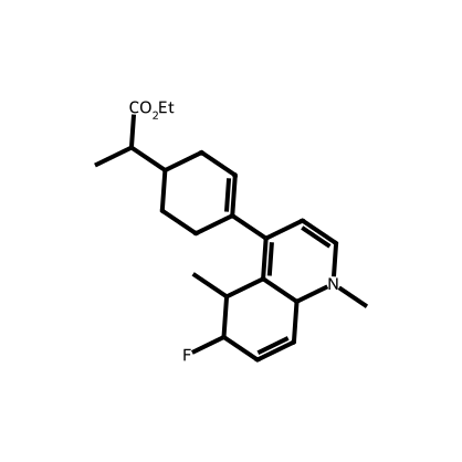 CCOC(=O)C(C)C1CC=C(C2=C3C(C)C(F)C=CC3N(C)C=C2)CC1